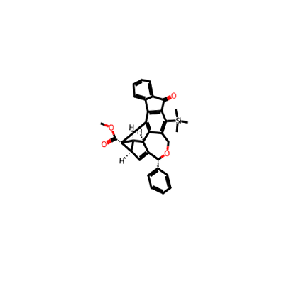 COC(=O)[C@@]12c3c4c(c([Si](C)(C)C)c5c3[C@H]3C(=C[C@@H]1[C@H]32)[C@@H](c1ccccc1)OC5)C(=O)c1ccccc1-4